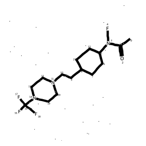 CC(=O)N(F)C1CCC(CCN2CCN(C(F)(F)F)CC2)CC1